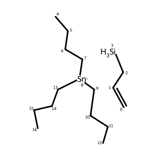 C=CC[SiH3].CCC[CH2][Sn]([CH2]CCC)[CH2]CCC